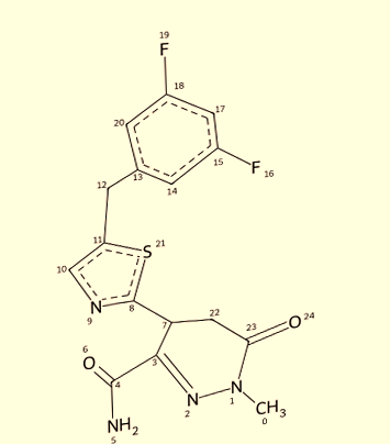 CN1N=C(C(N)=O)C(c2ncc(Cc3cc(F)cc(F)c3)s2)CC1=O